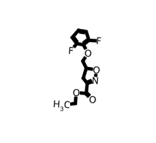 CCOC(=O)C1=NOC(COc2c(F)cccc2F)C1